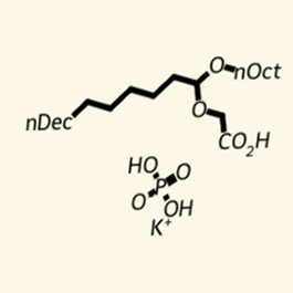 CCCCCCCCCCCCCCCC(OCCCCCCCC)OCC(=O)O.O=P([O-])(O)O.[K+]